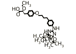 CCO[C@@H](Cc1ccc(OCCCCc2ccc(N/C(=N/C(=O)OC(C)(C)C)NC(=O)OC(C)(C)C)cc2)cc1)C(=O)O